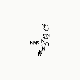 [N-]=[N+]=NCC(=O)N(CN=[N+]=[N-])c1cnc(-c2cccnc2)s1